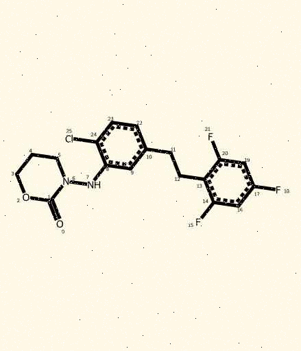 O=C1OCCCN1Nc1cc(CCc2c(F)cc(F)cc2F)ccc1Cl